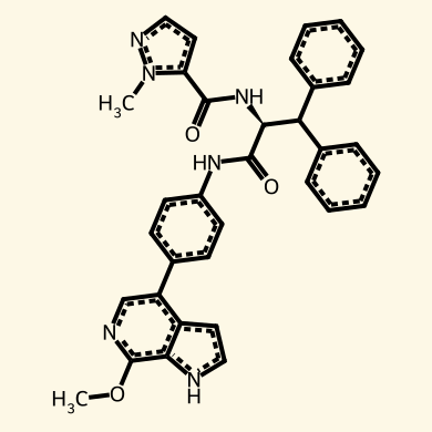 COc1ncc(-c2ccc(NC(=O)[C@@H](NC(=O)c3ccnn3C)C(c3ccccc3)c3ccccc3)cc2)c2cc[nH]c12